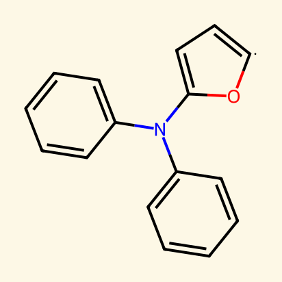 [c]1ccc(N(c2ccccc2)c2ccccc2)o1